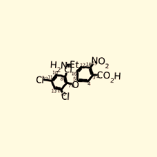 CCN.O=C(O)c1cc(Oc2c(Cl)cc(Cl)cc2Cl)ccc1[N+](=O)[O-]